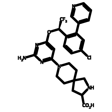 Nc1nc(O[C@H](c2ccc(Cl)cc2-c2cccnc2)C(F)(F)F)cc(N2CCC3(CC2)CNC(C(=O)O)C3)n1